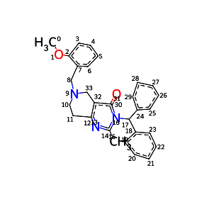 COc1ccccc1CN1CCc2nc(C)n(C(c3ccccc3)c3ccccc3)c(=O)c2C1